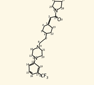 O=C(C=C1CCC(CCN2CCN(c3cccc(C(F)(F)F)c3)CC2)CC1)N1CCCC1